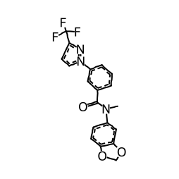 CN(C(=O)c1cccc(-n2ccc(C(F)(F)F)n2)c1)c1ccc2c(c1)OCO2